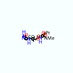 CNCc1cc(NC(=O)OCCc2c(C)cc(C(Nc3ccc4nc[nH]c(=O)c4c3)C(=O)O)cc2C)ccc1S(=O)(=O)C(C)C